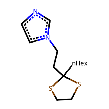 CCCCCCC1(CCn2ccnc2)SCCS1